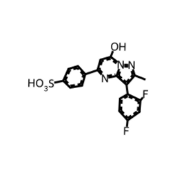 Cc1nn2c(O)cc(-c3ccc(S(=O)(=O)O)cc3)nc2c1-c1ccc(F)cc1F